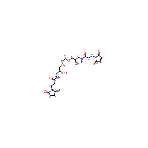 CC(COCC(O)CNC(=O)CCN1C(=O)C=CC1=O)OCC(O)CNC(=O)CCN1C(=O)C=CC1=O